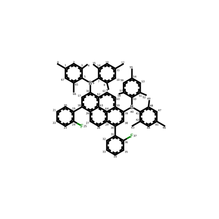 Cc1cc(C)c(B(c2c(C)cc(C)cc2C)c2cc(-c3ccccc3F)c3ccc4c(-c5ccccc5F)cc(B(c5c(C)cc(C)cc5C)c5c(C)cc(C)cc5C)c5ccc2c3c54)c(C)c1